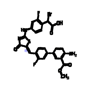 COC(=O)c1cc(-c2ccc(/C=C3\SC(Nc4ccc(C(Br)C(=O)O)c(F)c4)=NC3=O)c(F)c2)ccc1N